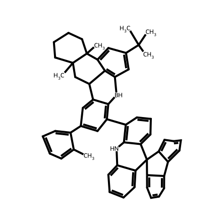 Cc1ccccc1-c1cc(-c2cccc3c2Nc2ccccc2C32c3ccccc3-c3ccccc32)c2c(c1)C1CC3(C)CCCCC3(C)c3cc(C(C)(C)C)cc(c31)B2